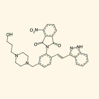 O=C1c2cccc([N+](=O)[O-])c2C(=O)N1c1cc(CN2CCN(CCCO)CC2)ccc1C=Cc1n[nH]c2ccccc12